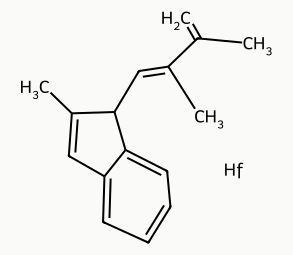 C=C(C)C(C)=CC1C(C)=Cc2ccccc21.[Hf]